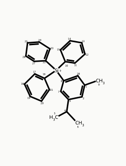 Cc1cc(C(C)C)cc([Si](c2ccccc2)(c2ccccc2)c2ccccc2)c1